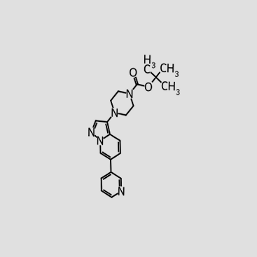 CC(C)(C)OC(=O)N1CCN(c2cnn3cc(-c4cccnc4)ccc23)CC1